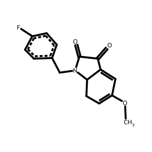 COC1=CCC2C(=C1)C(=O)C(=O)N2Cc1ccc(F)cc1